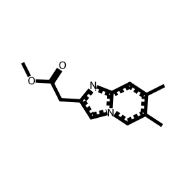 COC(=O)Cc1cn2cc(C)c(C)cc2n1